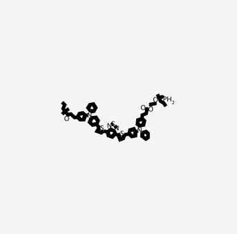 CCCC(C)(CP)OCCOC(=O)CCc1ccc(N(c2ccccc2)c2ccc(-c3ccc(-c4ccc(-c5ccc(-c6ccc(N(c7ccccc7)c7ccc(CCC(=O)C(C)(C)CCC)cc7)cc6)s5)c5nsnc45)s3)cc2)cc1